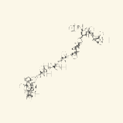 CCN(c1cc(-c2ccc(N3CCN(C(=O)CCC(=O)NCCCC(=O)NCCCC(=O)NCCCOc4cccc5c4C(=O)N(C4CCC(=O)NC4=O)C5=O)CC3)cc2)cc(C(=O)NCc2c(C)cc(C)[nH]c2=O)c1C)C1CCOCC1